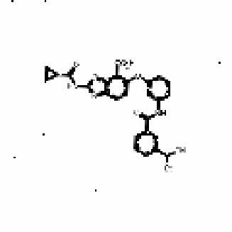 CCC(C#N)c1cccc(C(=O)Nc2cccc(Oc3ccc4nc(NC(=O)C5CC5)sc4c3C(=O)O)c2)c1